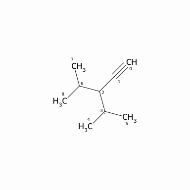 C#CC([C](C)C)C(C)C